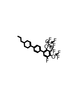 CCCC1CC=C(c2ccc(-c3cc(F)c(OC(F)(F)F)c(F)c3OS(=O)(=O)C(F)(F)F)cc2)CC1